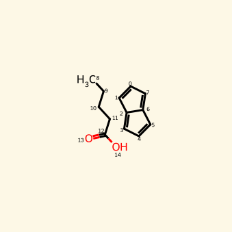 C1=CC2=CC=CC2=C1.CCCCC(=O)O